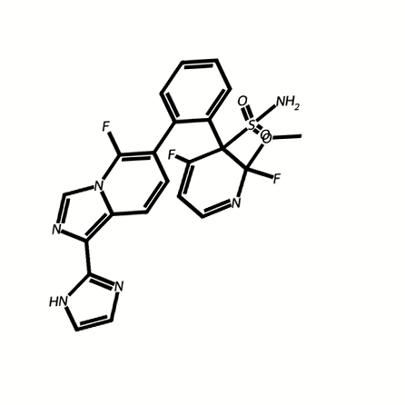 COC1(F)N=CC=C(F)C1(c1ccccc1-c1ccc2c(-c3ncc[nH]3)ncn2c1F)S(N)(=O)=O